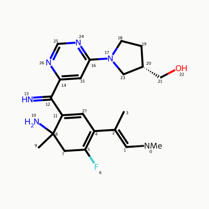 CN/C=C(\C)C1=C(F)CC(C)(N)C(C(=N)c2cc(N3CC[C@H](CO)C3)ncn2)=C1